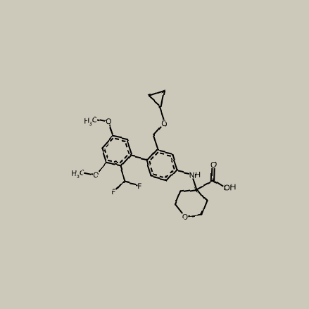 COc1cc(OC)c(C(F)F)c(-c2ccc(NC3(C(=O)O)CCOCC3)cc2COC2CC2)c1